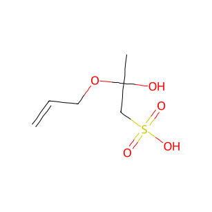 C=CCOC(C)(O)CS(=O)(=O)O